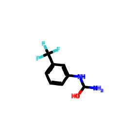 NC(O)Nc1cccc(C(F)(F)F)c1